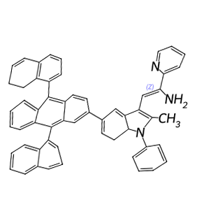 CC1=C(/C=C(\N)c2ccccn2)C2=CC(c3ccc4c(-c5cccc6c5CCC=C6)c5ccccc5c(-c5cccc6ccccc56)c4c3)=CCC2N1c1ccccc1